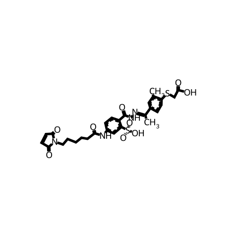 C/C(=N\NC(=O)c1ccc(NC(=O)CCCCCN2C(=O)C=CC2=O)cc1S(=O)(=O)O)c1ccc(SCC(=O)O)c(C)c1